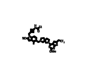 CCC(=O)NC12CC(Cn3c(C#N)cc4c(C)c(CN5CCC6(CCN(c7nc(OC)nc8sc(CC(F)(F)F)cc78)C6)C5)ccc43)(C1)C2